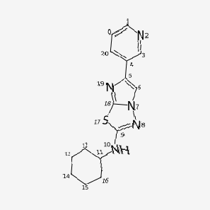 c1cncc(-c2cn3nc(NC4CCCCC4)sc3n2)c1